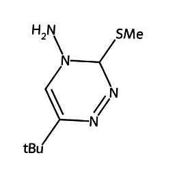 CSC1N=NC(C(C)(C)C)=CN1N